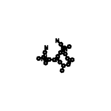 N#Cc1ccc(-c2cc(-c3ccccc3)nc(-n3c4ccccc4c4cc(-c5ccc6c(c5)c5ccccc5n6-c5ccc(-c6cc(-c7ccccc7)cc(-c7cccc(-n8c9ccccc9c9cc(-c%10ccc%11c(c%10)c%10ccccc%10n%11-c%10nc(-c%11ccccc%11)cc(-c%11ccc(C#N)cc%11)n%10)ccc98)c7)c6)cc5)ccc43)n2)cc1